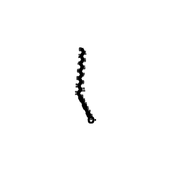 CCCCCCCCCCCCCC#CC#CC#C[O]